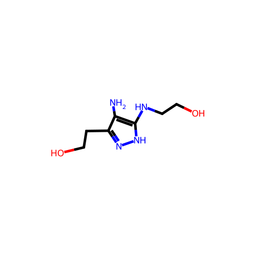 Nc1c(CCO)n[nH]c1NCCO